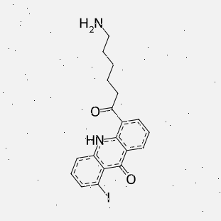 NCCCCCC(=O)c1cccc2c(=O)c3c(I)cccc3[nH]c12